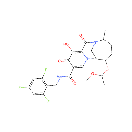 COC(C)OC1CCC(C)N2CC1n1cc(C(=O)NCc3c(F)cc(F)cc3F)c(=O)c(O)c1C2=O